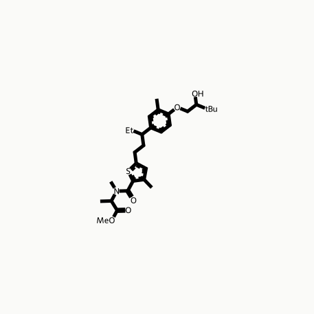 CCC(CCc1cc(C)c(C(=O)N(C)C(C)C(=O)OC)s1)c1ccc(OCC(O)C(C)(C)C)c(C)c1